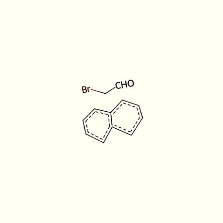 O=CCBr.c1ccc2ccccc2c1